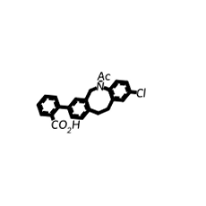 CC(=O)N1Cc2cc(-c3ccccc3C(=O)O)ccc2CCc2cc(Cl)ccc21